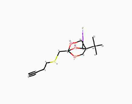 C#CCCSCC12OCC(C(C)(C)C)(CO1)C(I)O2